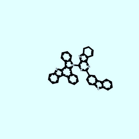 C1=Cc2c(sc3c(-n4c5ccccc5c5c6sc7ccccc7c6c6ccccc6c54)nc(-c4ccc5oc6ccccc6c5c4)nc23)CC1